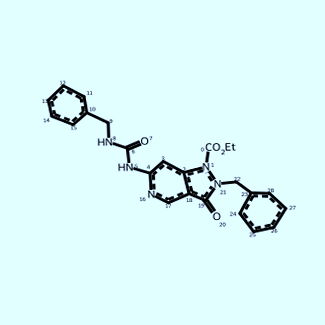 CCOC(=O)n1c2cc(NC(=O)NCc3ccccc3)ncc2c(=O)n1Cc1ccccc1